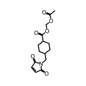 CC(=O)OCOC(=O)C1CCC(CN2C(=O)C=CC2=O)CC1